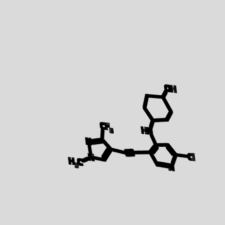 Cn1cc(C#Cc2cnc(Cl)cc2NC2CCC(O)CC2)c(C(F)(F)F)n1